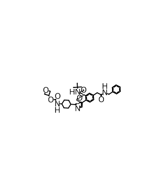 CC(C)(C)NS(=O)(=O)c1cc(CC(=O)NCc2ccccc2)ccc1-c1cnc(C2CCC(NC(=O)OC3COC3)CC2)s1